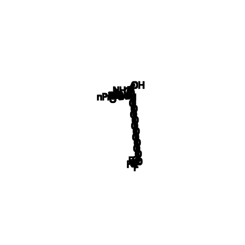 CCCN(CCC)C(=O)C1=Cc2ccc(-c3ccc(CN(C)CCOCCOCCOCCOCCOCCOCCOCCOCCOCCOCCC(=O)Oc4c(F)c(F)cc(F)c4F)c(S(=O)(=O)N4CC(CO)C4)c3)cc2N=C(N)C1